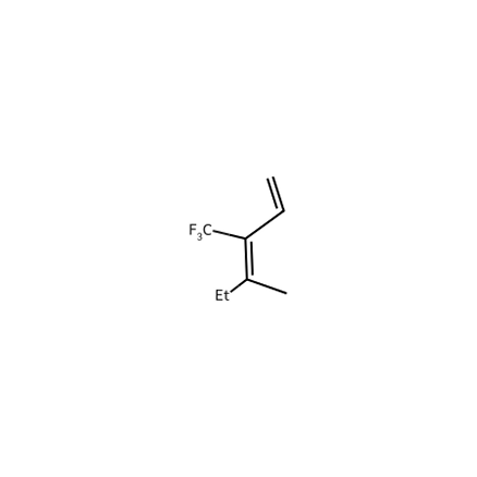 C=C/C(=C(\C)CC)C(F)(F)F